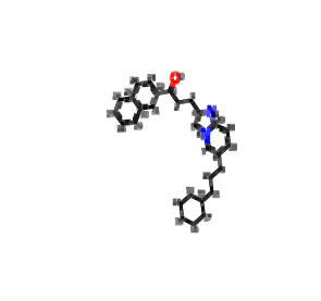 O=C(CCc1cn2cc(CCCC3CCCCC3)ccc2n1)c1ccc2ccccc2c1